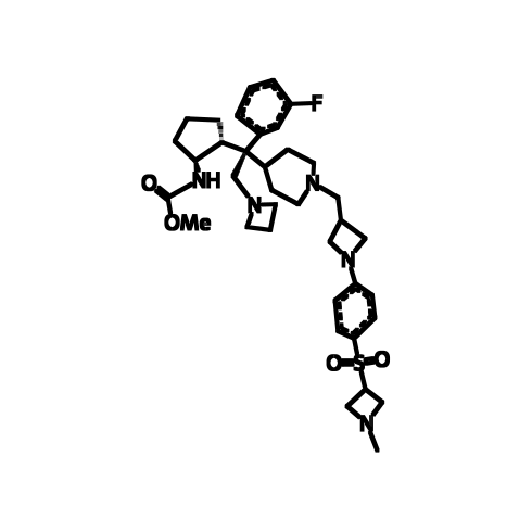 COC(=O)N[C@H]1CCC[C@@H]1[C@](CN1CCC1)(c1cccc(F)c1)C1CCN(CC2CN(c3ccc(S(=O)(=O)C4CN(C)C4)cc3)C2)CC1